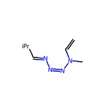 C=CN(C)/N=N\N=C\C(C)C